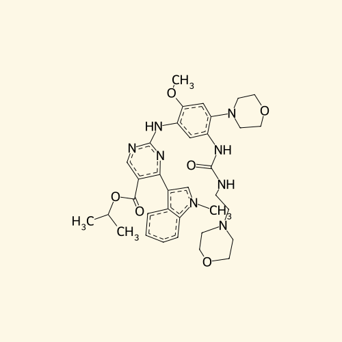 COc1cc(N2CCOCC2)c(NC(=O)NCCN2CCOCC2)cc1Nc1ncc(C(=O)OC(C)C)c(-c2cn(C)c3ccccc23)n1